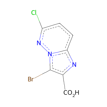 O=C(O)c1nc2ccc(Cl)nn2c1Br